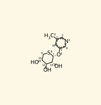 Cc1cncc(O[C@H]2SC[C@@H](O)[C@H](O)[C@H]2O)c1